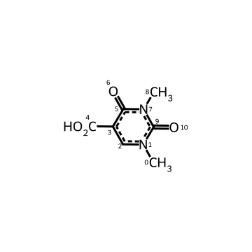 Cn1cc(C(=O)O)c(=O)n(C)c1=O